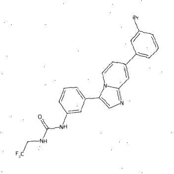 CC(C)c1cccc(-c2ccn3c(-c4cccc(NC(=O)NCC(F)(F)F)c4)cnc3c2)c1